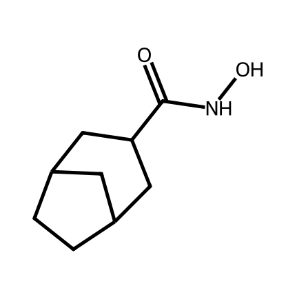 O=C(NO)C1CC2CCC(C2)C1